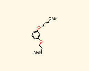 CNCCOc1cccc(OCCCOC)c1